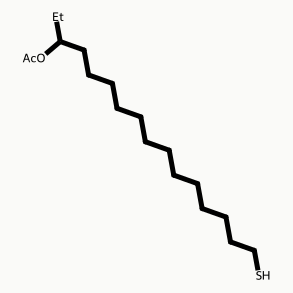 CCC(CCCCCCCCCCCCCS)OC(C)=O